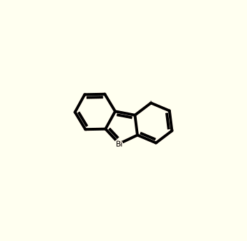 [CH]1C=CC=[C]2[Bi]=[c]3ccccc3=C12